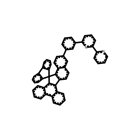 c1ccc(-c2cccc(-c3cccc(-c4ccc5c6c(ccc5c4)-c4c(c5ccccc5c5ccccc45)C64c5ccccc5-c5ccccc54)c3)n2)nc1